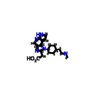 C/N=C/C[C@H]1CC[C@H](n2c(CC(=O)O)nc3cnc4[nH]ccc4c32)CC1